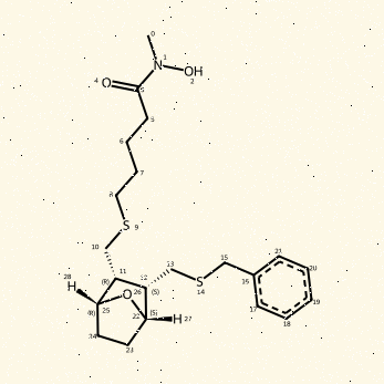 CN(O)C(=O)CCCCSC[C@@H]1[C@H](CSCc2ccccc2)[C@@H]2CC[C@H]1O2